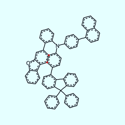 c1ccc(C2(c3ccccc3)c3ccccc3-c3c(-c4ccc(N(c5ccc(-c6cccc7ccccc67)cc5)c5ccccc5-c5ccc6c(c5)oc5ccccc56)cc4)cccc32)cc1